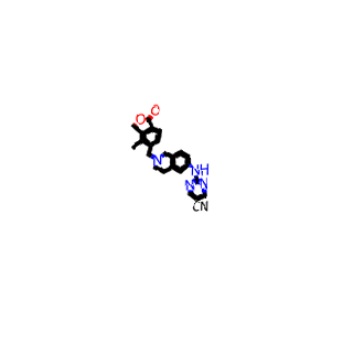 Cc1c(CN2CCc3cc(Nc4ncc(C#N)cn4)ccc3C2)ccc2c1COC2=O